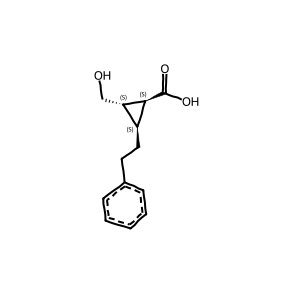 O=C(O)[C@@H]1[C@@H](CO)[C@@H]1CCc1ccccc1